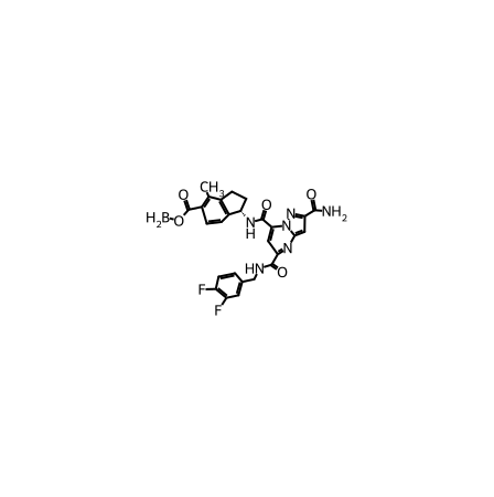 BOC(=O)c1ccc2c(c1C)CC[C@@H]2NC(=O)c1cc(C(=O)NCc2ccc(F)c(F)c2)nc2cc(C(N)=O)nn12